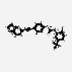 O=C(Nc1ccc(C#Cc2ccc3nccn3n2)cc1)Nc1cc(C(F)(F)F)ccc1F